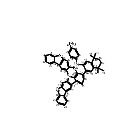 CC(C)(C)c1ccc(N2B3c4cc5sc6ccccc6c5cc4-n4c5cc6oc7ccccc7c6cc5c5ccc(c3c54)-c3cc4c(cc32)C(C)(C)CCC4(C)C)cc1